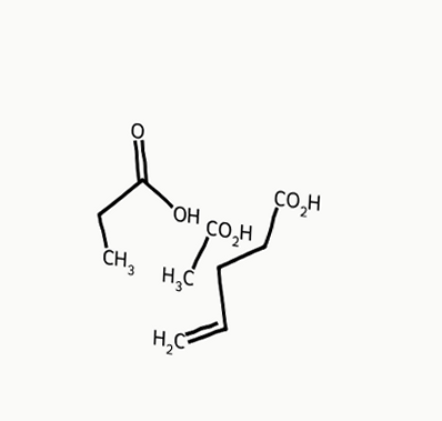 C=CCCC(=O)O.CC(=O)O.CCC(=O)O